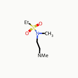 CCS(=O)(=O)N(C)CCNC